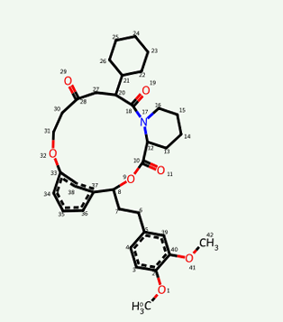 COc1ccc(CCC2OC(=O)C3CCCCN3C(=O)C(C3CCCCC3)CC(=O)CCOc3cccc2c3)cc1OC